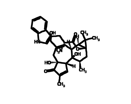 CC1=C[C@H]2[C@@]3(O)[C@H](C)C[C@]4(OC(=O)[C@H](N)Cc5c[nH]c6ccccc56)[C@@H]([C@@H]3C=C(CO)C[C@]2(O)C1=O)C4(C)C